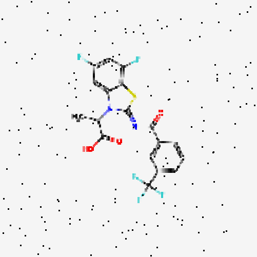 CC(C(=O)O)n1c(=NC(=O)c2cccc(C(F)(F)F)c2)sc2c(F)cc(F)cc21